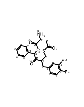 CC(=O)SCC(Cc1ccc(F)c(F)c1)C(=O)C(OC(=O)CN)c1ccccc1